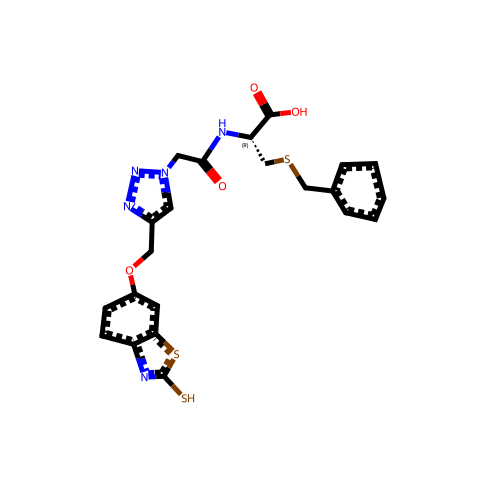 O=C(Cn1cc(COc2ccc3nc(S)sc3c2)nn1)N[C@@H](CSCc1ccccc1)C(=O)O